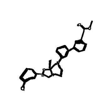 COC(=O)c1cccc(-c2cccc(N3CCN4C[C@@H](c5cccc(Cl)c5)OC43C)c2)c1